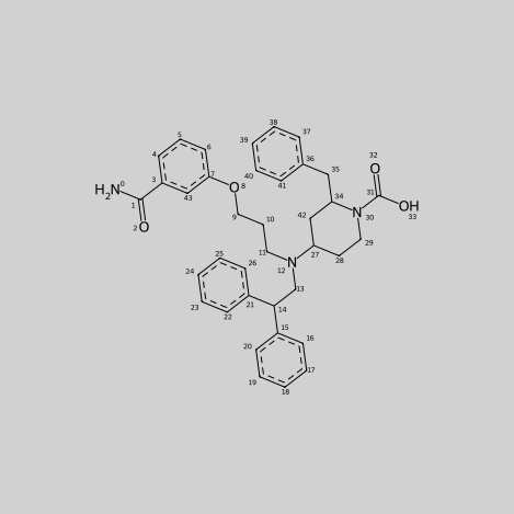 NC(=O)c1cccc(OCCCN(CC(c2ccccc2)c2ccccc2)C2CCN(C(=O)O)C(Cc3ccccc3)C2)c1